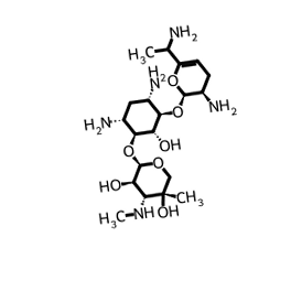 CN[C@@H]1[C@@H](O)[C@@H](O[C@@H]2[C@@H](O)[C@H](O[C@H]3OC(C(C)N)=CC[C@H]3N)[C@@H](N)C[C@H]2N)OC[C@]1(C)O